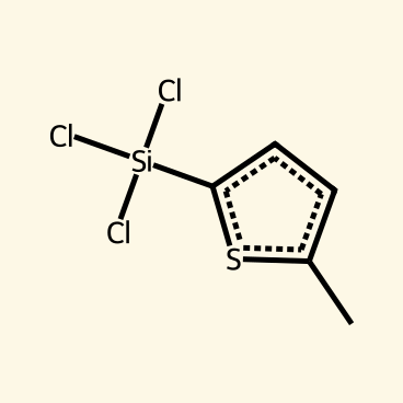 Cc1ccc([Si](Cl)(Cl)Cl)s1